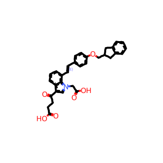 O=C(O)CCC(=O)c1cn(CC(=O)O)c2c(/C=C/c3ccc(OCC4Cc5ccccc5C4)cc3)cccc12